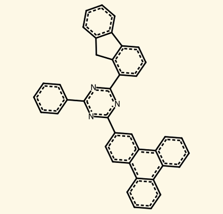 c1ccc(-c2nc(-c3ccc4c5ccccc5c5ccccc5c4c3)nc(-c3cccc4c3Cc3ccccc3-4)n2)cc1